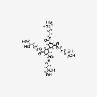 O=C(OCCCCC(O)CO)c1cc(C(=O)OCCCCC(O)CO)cc(-c2cc(C(=O)OCCCCC(O)CO)cc(C(=O)OCCCCC(O)CO)c2)c1